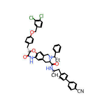 CCC(c1ccccc1)N1Cc2cc3c(cc2CC1C(=O)N[C@@H](C)Cc1ccc(-c2ccc(C#N)cc2)cc1)NC(=O)[C@H](Cc1ccc(OCc2ccc(Cl)c(Cl)c2)cc1)O3